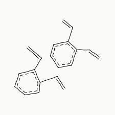 C=Cc1ccccc1C=C.C=Cc1ccccc1C=C